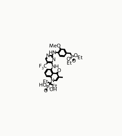 CCOP(=O)(Cc1ccc(Nc2ncc(C(F)(F)F)c(Nc3cccc4c3c(=O)c(C)cn4C(CC)(CC)P(=O)(O)O)n2)c(OC)c1)OCC